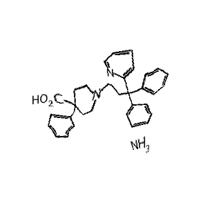 N.O=C(O)C1(c2ccccc2)CCN(CCC(c2ccccc2)(c2ccccc2)c2ccccn2)CC1